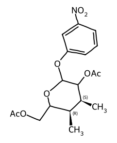 CC(=O)OCC1OC(Oc2cccc([N+](=O)[O-])c2)C(OC(C)=O)[C@@H](C)[C@H]1C